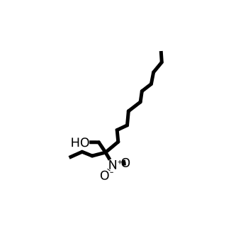 CCCCCCCCCCC(CO)(CCC)[N+](=O)[O-]